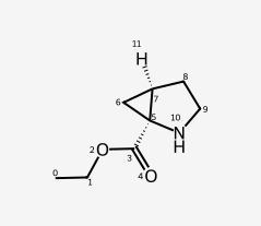 CCOC(=O)[C@]12C[C@H]1CCN2